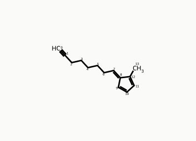 C#CCCCCCC=C1C=CC=C1C